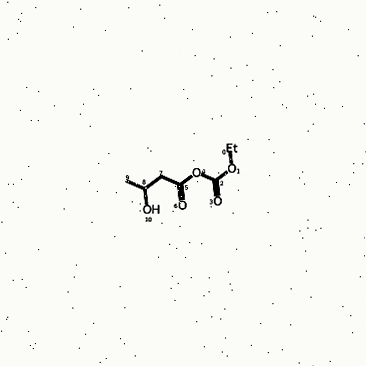 CCOC(=O)OC(=O)CC(C)O